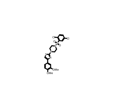 COc1ccc(-c2csc(N3CCN(S(=O)(=O)c4cc(Cl)ccc4Cl)CC3)n2)cc1OC